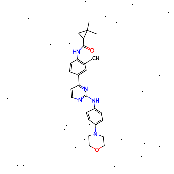 CC1(C)CC1C(=O)Nc1ccc(-c2ccnc(Nc3ccc(N4CCOCC4)cc3)n2)cc1C#N